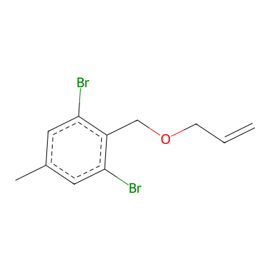 C=CCOCc1c(Br)cc(C)cc1Br